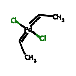 C[CH]=[Pd]([Cl])([Cl])=[CH]C